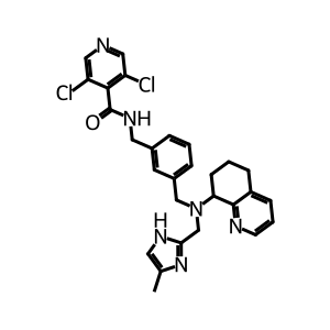 Cc1c[nH]c(CN(Cc2cccc(CNC(=O)c3c(Cl)cncc3Cl)c2)C2CCCc3cccnc32)n1